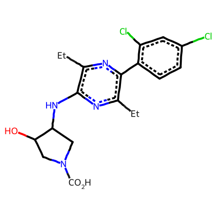 CCc1nc(-c2ccc(Cl)cc2Cl)c(CC)nc1NC1CN(C(=O)O)CC1O